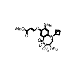 CCCC[C@@H]1CN(C23CC(C2)C3)c2cc(SC)c(O/C=C/C(=O)OC)cc2S(=O)(=O)N1C